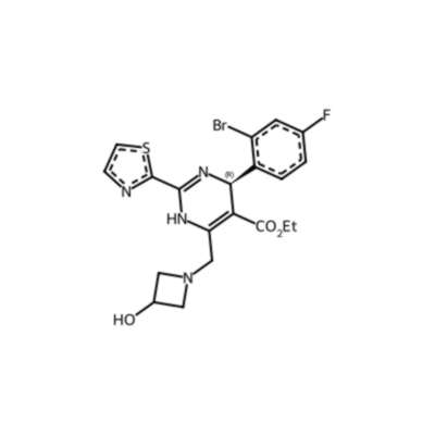 CCOC(=O)C1=C(CN2CC(O)C2)NC(c2nccs2)=N[C@H]1c1ccc(F)cc1Br